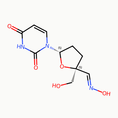 O=c1ccn([C@@H]2CC[C@](C=NO)(CO)O2)c(=O)[nH]1